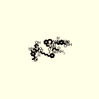 Cc1ncsc1-c1ccc([C@H](C)NC(=O)[C@@H]2C[C@@H](O)CN2C(=O)[C@@H](NC(=O)CCCCCc2cccc(NCC(CCC(N)=O)NC(=O)[C@@H]3Cc4cccc5c4N3C(=O)[C@@H](NC(=O)c3cc4cc(C(=O)P(=O)(O)O)ccc4[nH]3)CC5)c2F)C(C)(C)C)cc1